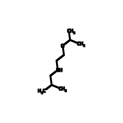 CC(C)CNCCOC(C)C